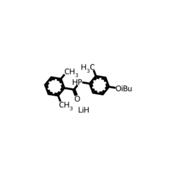 Cc1cc(OCC(C)C)ccc1PC(=O)c1c(C)cccc1C.[LiH]